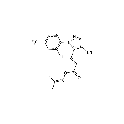 CC(C)=NOC(=O)/C=C/c1c(C#N)cnn1-c1ncc(C(F)(F)F)cc1Cl